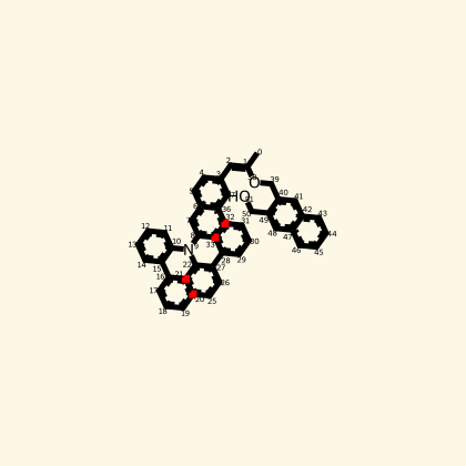 CC(=Cc1ccc2cc(N(c3ccccc3-c3ccccc3)c3ccccc3-c3ccccc3)ccc2c1)OCc1cc2ccccc2cc1CO